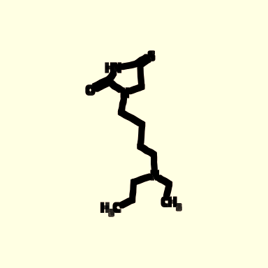 CCCN(CC)CCCCN1CC(=S)NC1=O